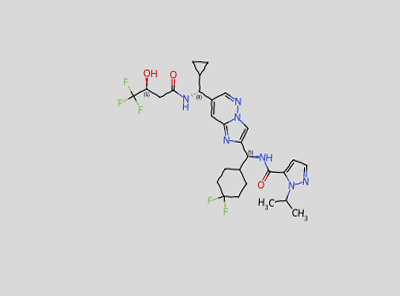 CC(C)n1nccc1C(=O)N[C@H](c1cn2ncc([C@H](NC(=O)C[C@H](O)C(F)(F)F)C3CC3)cc2n1)C1CCC(F)(F)CC1